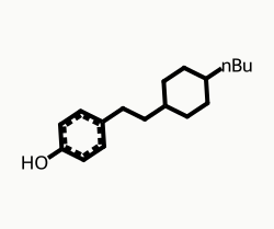 CCCCC1CCC(CCc2ccc(O)cc2)CC1